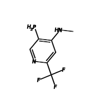 CNc1cc(C(F)(F)F)ncc1P